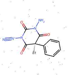 CC[C@@]1(c2ccccc2)C(=O)N(N)C(=O)N([N+]#N)C1=O